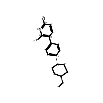 CC[C@H]1CC[C@H](c2ccc(-c3ccc(Cl)nc3F)cc2)CC1